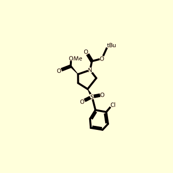 COC(=O)[C@@H]1C[C@H](S(=O)(=O)c2ccccc2Cl)CN1C(=O)OC(C)(C)C